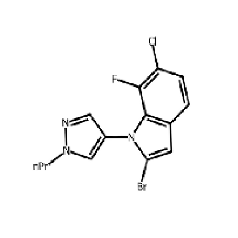 CCCn1cc(-n2c(Br)cc3ccc(Cl)c(F)c32)cn1